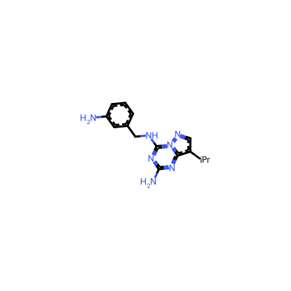 CC(C)c1cnn2c(NCc3cccc(N)c3)nc(N)nc12